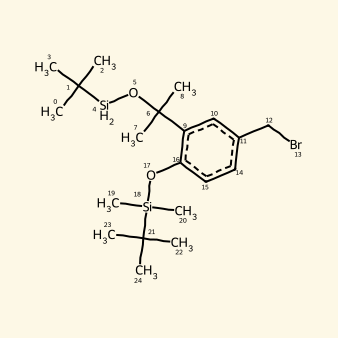 CC(C)(C)[SiH2]OC(C)(C)c1cc(CBr)ccc1O[Si](C)(C)C(C)(C)C